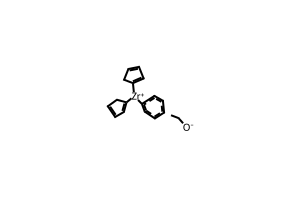 C1=CC[C]([Zr+]([C]2=CC=CC2)[c]2ccccc2)=C1.CC[O-]